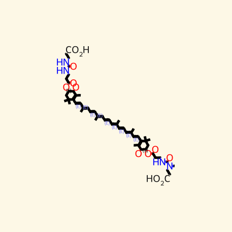 CC1=C(/C=C/C(C)=C/C=C/C(C)=C/C=C/C=C(C)/C=C/C=C(C)/C=C/C2=C(C)C(=O)[C@@H](OC(=O)CCNC(=O)N(C)CCC(=O)O)CC2(C)C)C(C)(C)C[C@H](OC(=O)CCNC(=O)NCCC(=O)O)C1=O